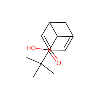 CC(C)(C)C1=CC2CC(=C1)C2C(=O)O